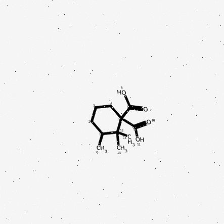 CC1CCCC(C(=O)O)(C(=O)O)C1(C)C